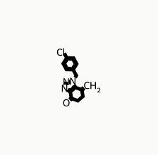 C=C1CCC(=O)c2nnn(Cc3ccc(Cl)cc3)c21